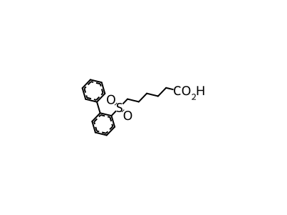 O=C(O)CCCCCS(=O)(=O)c1ccccc1-c1ccccc1